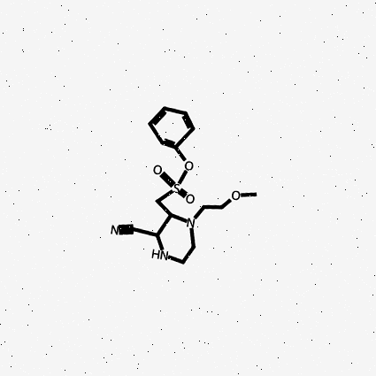 COCCN1CCNC(C#N)C1CS(=O)(=O)Oc1ccccc1